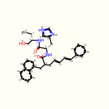 CC(C)C[C@@H](CO)NC(=O)[C@H](Cc1c[nH]cn1)NC(=O)C(C/C=C/C=C/c1ccccc1)Cc1cccc2ccccc12